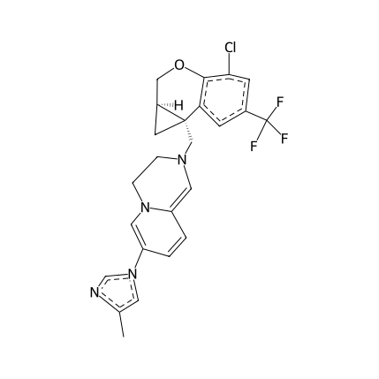 Cc1cn(C2=CN3CCN(C[C@]45C[C@H]4COc4c(Cl)cc(C(F)(F)F)cc45)C=C3C=C2)cn1